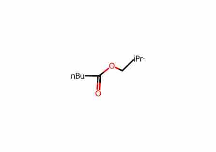 CCCCC(=O)OC[C](C)C